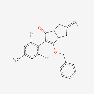 C=C1CC2C(=O)C(c3c(CC)cc(C)cc3CC)=C(OCc3ccccc3)C2C1